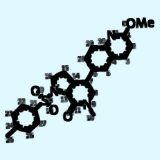 COc1ccc2cc(-c3cn(C)c(=O)c4c3ccn4S(=O)(=O)c3ccc(C)cc3)ccc2n1